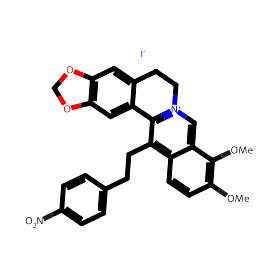 COc1ccc2c(CCc3ccc([N+](=O)[O-])cc3)c3[n+](cc2c1OC)CCc1cc2c(cc1-3)OCO2.[I-]